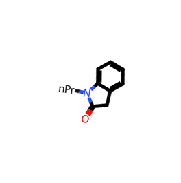 CCCN1C(=O)Cc2ccccc21